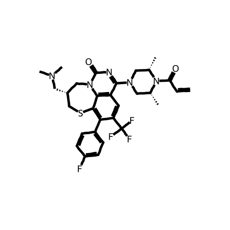 C=CC(=O)N1[C@H](C)CN(c2nc(=O)n3c4c(c(-c5ccc(F)cc5)c(C(F)(F)F)cc24)SC[C@H](CN(C)C)C3)C[C@@H]1C